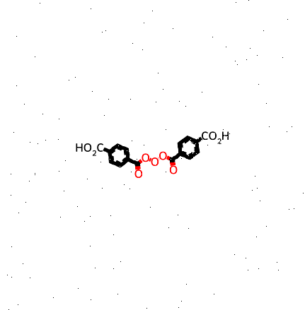 O=C(O)c1ccc(C(=O)OOOC(=O)c2ccc(C(=O)O)cc2)cc1